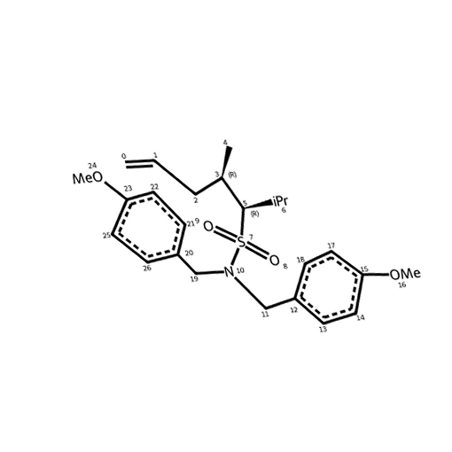 C=CC[C@@H](C)[C@@H](C(C)C)S(=O)(=O)N(Cc1ccc(OC)cc1)Cc1ccc(OC)cc1